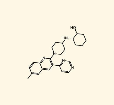 Cc1ccc2nc(N3CCC(N[C@H]4CCCC[C@@H]4O)CC3)c(-c3ccncn3)cc2c1